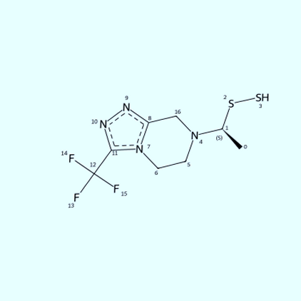 C[C@H](SS)N1CCn2c(nnc2C(F)(F)F)C1